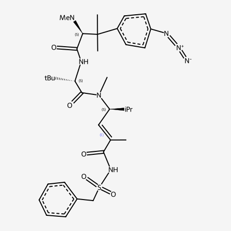 CN[C@H](C(=O)N[C@H](C(=O)N(C)[C@H](/C=C(\C)C(=O)NS(=O)(=O)Cc1ccccc1)C(C)C)C(C)(C)C)C(C)(C)c1ccc(N=[N+]=[N-])cc1